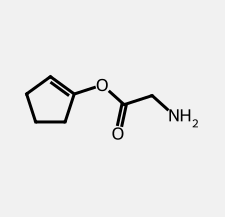 NCC(=O)OC1=CCCC1